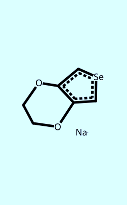 [Na].c1[se]cc2c1OCCO2